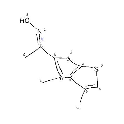 C/C(=N\O)c1sc2scc(C)c2c1C